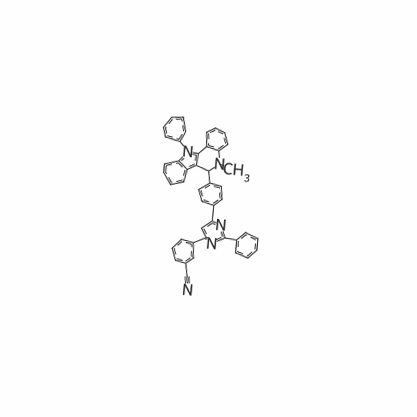 CN1c2ccccc2-c2c(c3ccccc3n2-c2ccccc2)C1c1ccc(-c2cc(-c3cccc(C#N)c3)nc(-c3ccccc3)n2)cc1